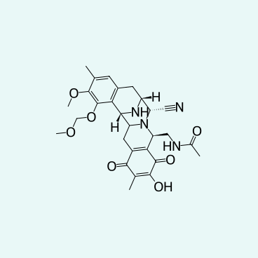 COCOc1c(OC)c(C)cc2c1[C@@H]1N[C@H](C2)[C@H](C#N)N2C1CC1=C(C(=O)C(O)=C(C)C1=O)[C@@H]2CNC(C)=O